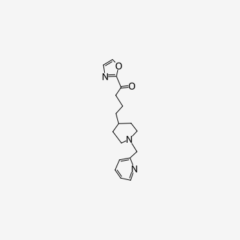 O=C(CCCC1CCN(Cc2ccccn2)CC1)c1ncco1